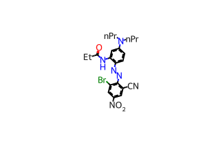 CCCN(CCC)c1ccc(/N=N/c2c(Br)cc([N+](=O)[O-])cc2C#N)c(NC(=O)CC)c1